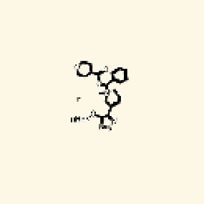 CCCCCCOc1nsnc1C1=CCC[N+](C)(C(OC(=O)C2CCOCC2)c2ccccc2)C1.[I-]